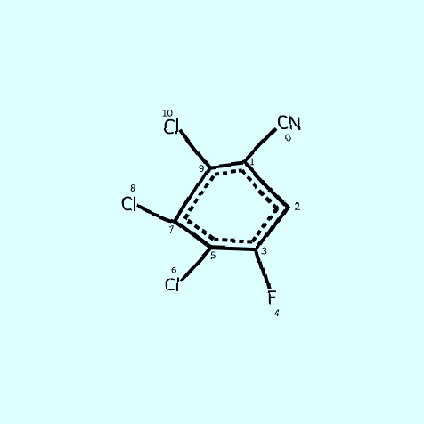 N#Cc1cc(F)c(Cl)c(Cl)c1Cl